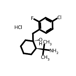 CC(C)(N)[C@H]1CCCC[C@@]1(O)Cc1ccc(Cl)cc1F.Cl